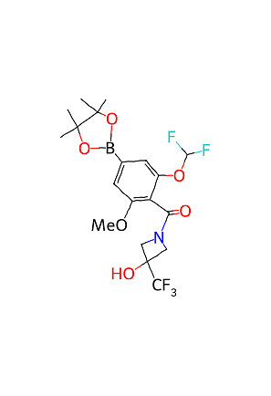 COc1cc(B2OC(C)(C)C(C)(C)O2)cc(OC(F)F)c1C(=O)N1CC(O)(C(F)(F)F)C1